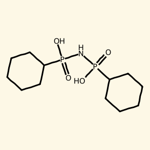 O=P(O)(NP(=O)(O)C1CCCCC1)C1CCCCC1